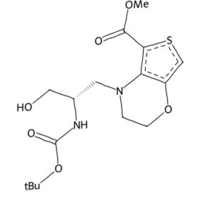 COC(=O)c1scc2c1N(C[C@@H](CO)NC(=O)OC(C)(C)C)CCO2